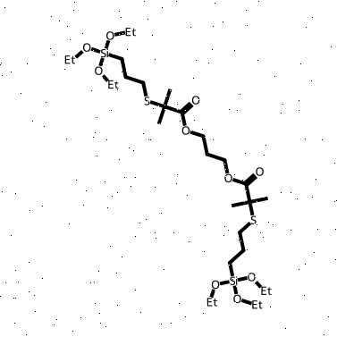 CCO[Si](CCCSC(C)(C)C(=O)OCCCOC(=O)C(C)(C)SCCC[Si](OCC)(OCC)OCC)(OCC)OCC